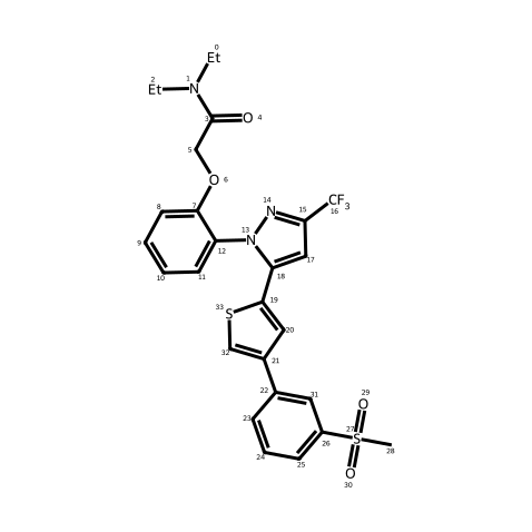 CCN(CC)C(=O)COc1ccccc1-n1nc(C(F)(F)F)cc1-c1cc(-c2cccc(S(C)(=O)=O)c2)cs1